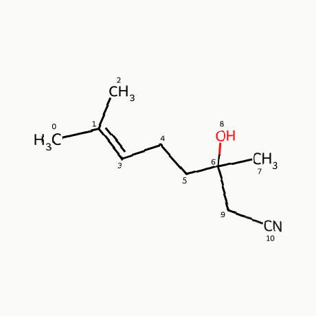 CC(C)=CCCC(C)(O)CC#N